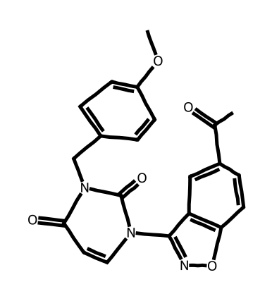 COc1ccc(Cn2c(=O)ccn(-c3noc4ccc(C(C)=O)cc34)c2=O)cc1